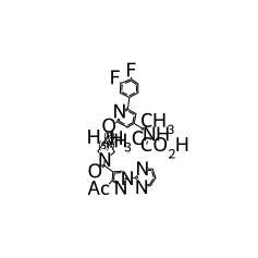 CC(=O)c1nn(-c2ncccn2)cc1C(=O)N1C[C@@H]2[C@H](C1)[C@@H]2Oc1cc(C(C)(C)NC(=O)O)cc(-c2ccc(F)c(F)c2)n1